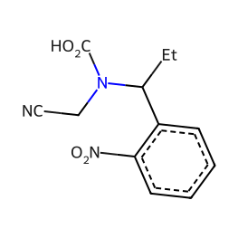 CCC(c1ccccc1[N+](=O)[O-])N(CC#N)C(=O)O